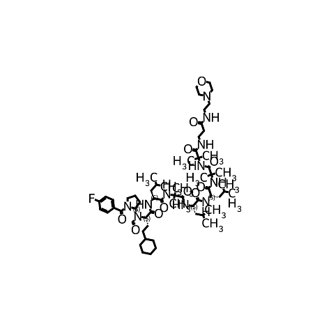 CC(C)C[C@H](NC(=O)[C@H](CC(C)C)NC(=O)C(C)(C)NC(=O)[C@H](CC(C)C)NC(=O)[C@H](CCC1CCCCC1)N(C=O)[C@@H]1CCCN1C(=O)c1ccc(F)cc1)C(=O)NC(C)(C)C(=O)NC(C)(C)C(=O)NCCC(=O)NCCN1CCOCC1